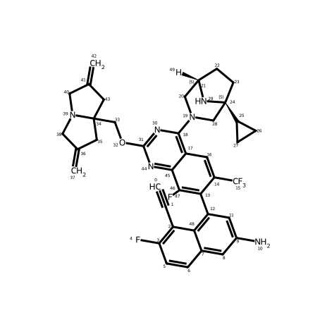 C#Cc1c(F)ccc2cc(N)cc(-c3c(C(F)(F)F)cc4c(N5C[C@@H]6CC[C@](C7CC7)(C5)N6)nc(OCC56CC(=C)CN5CC(=C)C6)nc4c3F)c12